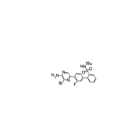 CC(C)(C)NS(=O)(=O)c1ccccc1-c1ccc(-c2cnc(N)c(Br)n2)c(F)c1